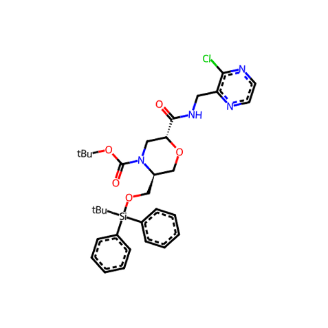 CC(C)(C)OC(=O)N1C[C@H](C(=O)NCc2nccnc2Cl)OC[C@H]1CO[Si](c1ccccc1)(c1ccccc1)C(C)(C)C